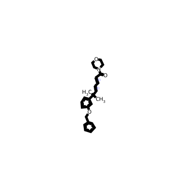 CC(C)(/C=C/C=C/C(=O)N1CCOCC1)c1cccc(OCc2ccccc2)c1